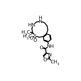 Cc1nc(C(=O)Nc2ccc3c(c2)CS(=O)(=O)C(C)(C)CNCNCCC3)co1